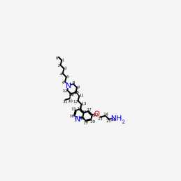 CCCCCCCN1CC[C@@H](CCCc2ccnc3ccc(OCCCN)cc23)[C@@H](CC)C1